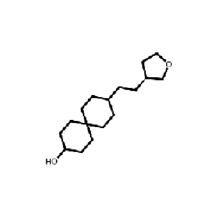 OC1CCC2(CC1)CCC(CC[C@H]1CCOC1)CC2